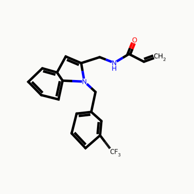 C=CC(=O)NCc1cc2ccccc2n1Cc1cccc(C(F)(F)F)c1